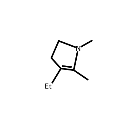 CCC1=C(C)N(C)CC1